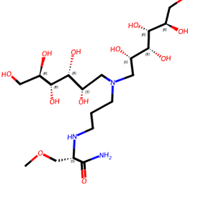 COC[C@H](NCCCN(C[C@H](O)[C@@H](O)[C@H](O)[C@H](O)CO)C[C@H](O)[C@@H](O)[C@H](O)[C@H](O)CO)C(N)=O